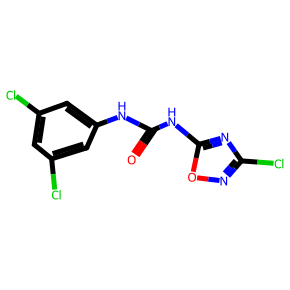 O=C(Nc1cc(Cl)cc(Cl)c1)Nc1nc(Cl)no1